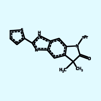 CCCN1C(=O)C(C)(C)c2cc3nc(-c4cccs4)[nH]c3cc21